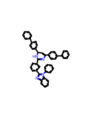 C1=C(c2ccc(-c3ccccc3)cc2)N=C(c2cccc(-c3nc4ccccc4n3-c3ccccc3)c2)NC1c1ccc(-c2ccccc2)cc1